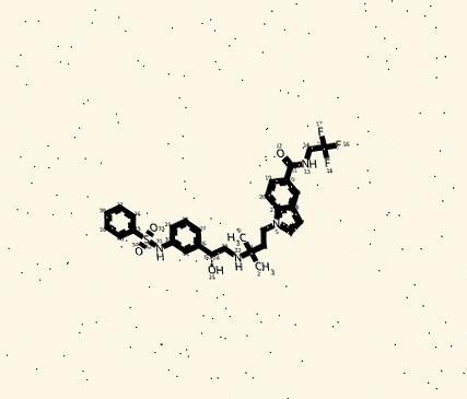 CC(C)(CCn1ccc2cc(C(=O)NCC(F)(F)F)ccc21)NC[C@H](O)c1cccc(NS(=O)(=O)c2ccccc2)c1